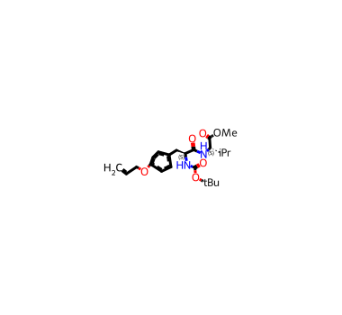 C=CCOc1ccc(C[C@H](NC(=O)OC(C)(C)C)C(=O)N[C@H](C(=O)OC)C(C)C)cc1